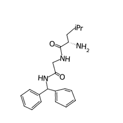 CC(C)C[C@H](N)C(=O)NCC(=O)NC(c1ccccc1)c1ccccc1